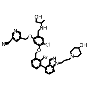 CC(CO)NCc1cc(Cl)c(OCc2cccc(-c3cccc4c3cnn4CCCN3CCC(O)CC3)c2Br)cc1OCc1cncc(C#N)c1